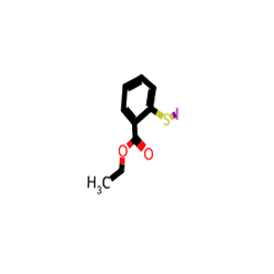 CCOC(=O)c1ccccc1SI